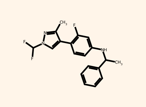 Cc1nn(C(F)F)cc1-c1ccc(NC(C)c2ccccc2)cc1F